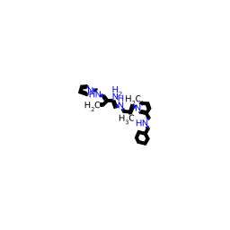 C=CC(=C\NCn1cccc1)/C(N)=C/NC/C(C)=C/N1C=C(CNCC2CCCCC2)C=CC1=C